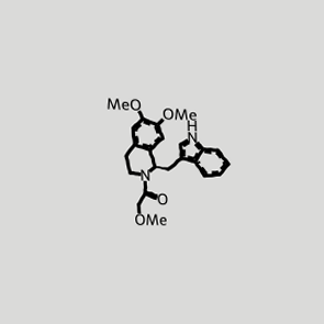 COCC(=O)N1CCc2cc(OC)c(OC)cc2[C@H]1Cc1c[nH]c2ccccc12